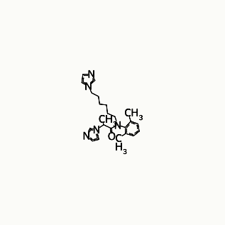 Cc1cccc(C)c1N(CCCCCCn1ccnc1)C(=O)C(C)n1ccnc1